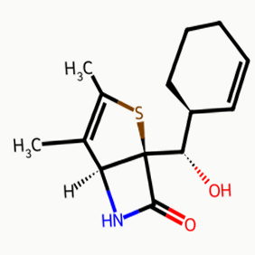 CC1=C(C)[C@@H]2NC(=O)[C@]2([C@@H](O)[C@@H]2C=CCCC2)S1